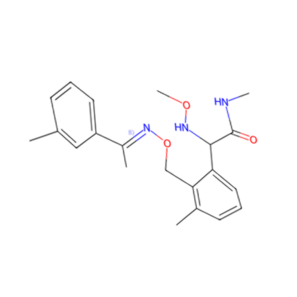 CNC(=O)C(NOC)c1cccc(C)c1CO/N=C(\C)c1cccc(C)c1